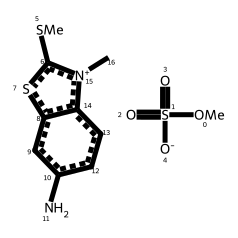 COS(=O)(=O)[O-].CSc1sc2cc(N)ccc2[n+]1C